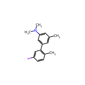 Cc1cc(-c2cc(I)ccc2C)cc(N(C)C)c1